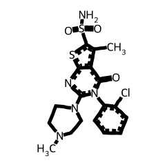 Cc1c(S(N)(=O)=O)sc2nc(N3CCN(C)CC3)n(-c3ccccc3Cl)c(=O)c12